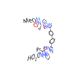 COC(=O)N[C@H](C(=O)N1CCC[C@H]1c1ncc(-c2ccc(-c3ccc(-c4cnc([C@@H]5CCCN5C(=O)[C@@H](NC(=O)O)C(C)C)[nH]4)cc3)cc2)[nH]1)C1CC1